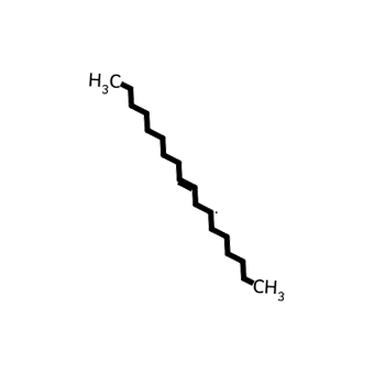 CCCCCC[CH]CC=CCCCCCCCC